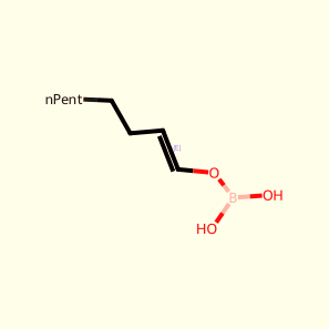 CCCCCCC/C=C/OB(O)O